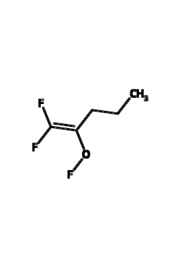 CCCC(OF)=C(F)F